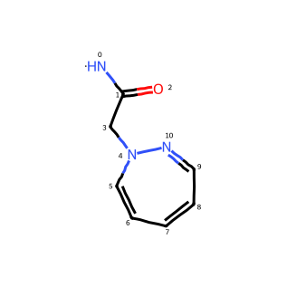 [NH]C(=O)CN1C=CC=CC=N1